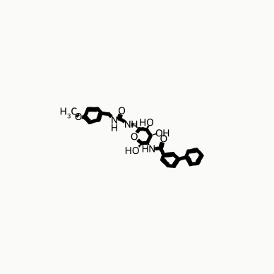 COc1ccc(CNC(=O)NC[C@H]2O[C@H](O)[C@@H](NC(=O)c3cccc(-c4ccccc4)c3)[C@@H](O)[C@@H]2O)cc1